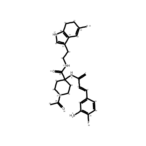 Bc1cc(/C=C/C(=C)NC2(C(=O)NCCc3c[nH]c4c3C=C(F)CC4)CCN(C(C)=O)CC2)ccc1F